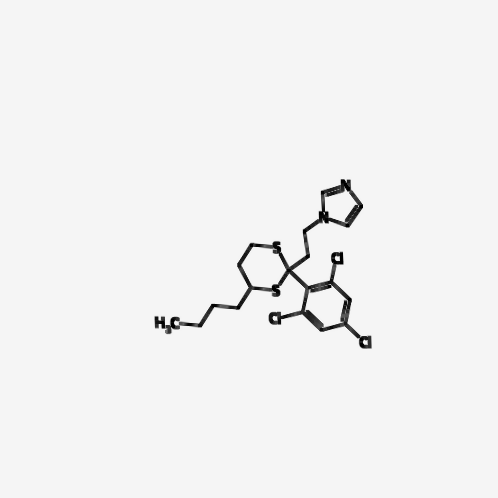 CCCCC1CCSC(CCn2ccnc2)(c2c(Cl)cc(Cl)cc2Cl)S1